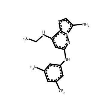 Nc1cc(Nc2cc(NCC(F)(F)F)c3ncc(N)n3n2)cc(C(F)(F)F)c1